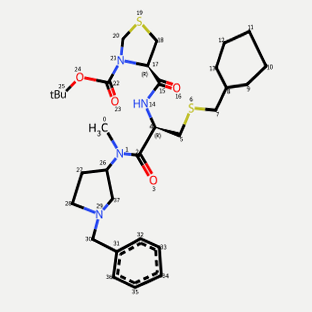 CN(C(=O)[C@H](CSCC1CCCCC1)NC(=O)[C@@H]1CSCN1C(=O)OC(C)(C)C)C1CCN(Cc2ccccc2)C1